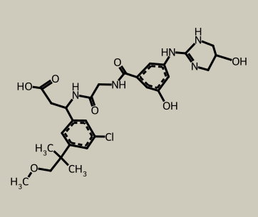 COCC(C)(C)c1cc(Cl)cc(C(CC(=O)O)NC(=O)CNC(=O)c2cc(O)cc(NC3=NCC(O)CN3)c2)c1